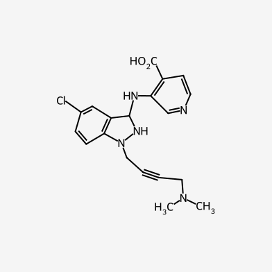 CN(C)CC#CCN1NC(Nc2cnccc2C(=O)O)c2cc(Cl)ccc21